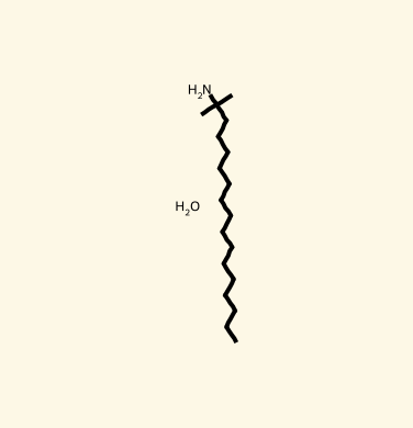 CCCCCCCCCCCCCCCC(C)(C)N.O